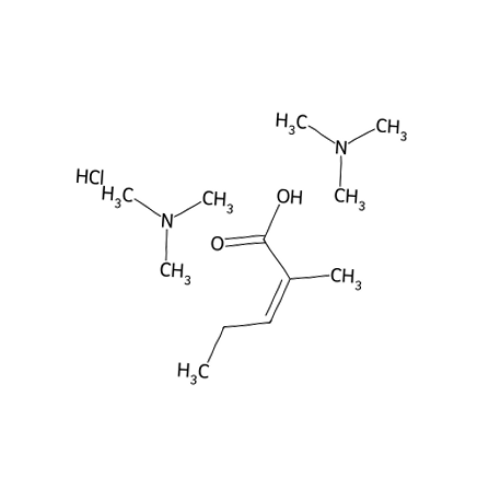 CCC=C(C)C(=O)O.CN(C)C.CN(C)C.Cl